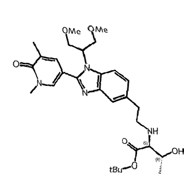 COCC(COC)n1c(-c2cc(C)c(=O)n(C)c2)nc2cc(CCN[C@H](C(=O)OC(C)(C)C)[C@@H](C)O)ccc21